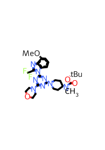 COc1cccc2c1nc(C(F)F)n2-c1nc(N2CCOCC2)nc(N2CCC(N(C)C(=O)OC(C)(C)C)CC2)n1